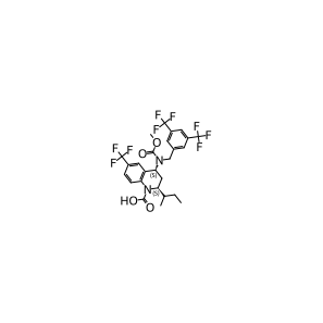 CCC(C)[C@@H]1C[C@H](N(Cc2cc(C(F)(F)F)cc(C(F)(F)F)c2)C(=O)OC)c2cc(C(F)(F)F)ccc2N1C(=O)O